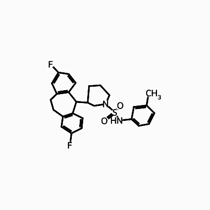 Cc1cccc(NS(=O)(=O)N2CCCC(C3c4ccc(F)cc4CCc4cc(F)ccc43)C2)c1